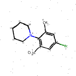 Cc1cc(Br)cc([N+](=O)[O-])c1N1CCCCC1